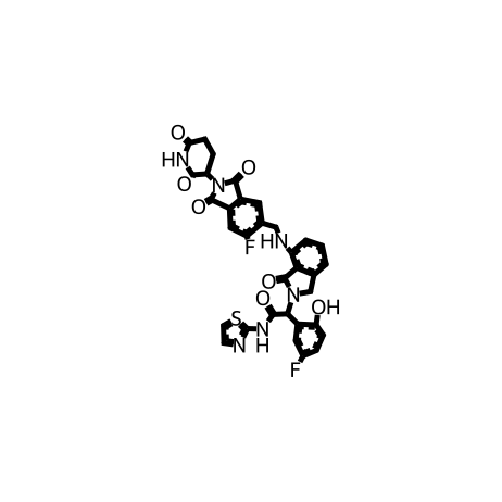 O=C1CCC(N2C(=O)c3cc(F)c(CNc4cccc5c4C(=O)N(C(C(=O)Nc4nccs4)c4cc(F)ccc4O)C5)cc3C2=O)C(=O)N1